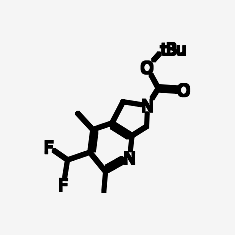 Cc1nc2c(c(C)c1C(F)F)CN(C(=O)OC(C)(C)C)C2